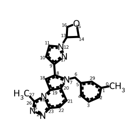 Cc1cccc(Cn2c(-c3ccn(C4COC4)n3)cc3c2ccc2nnc(C)n23)c1